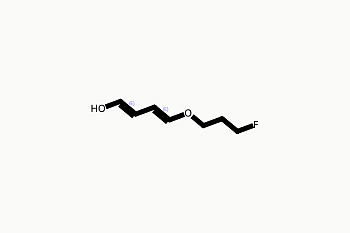 O/C=C/C=C/OCCCF